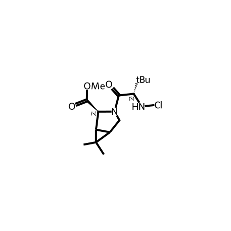 COC(=O)[C@@H]1C2C(CN1C(=O)[C@@H](NCl)C(C)(C)C)C2(C)C